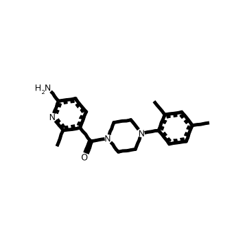 Cc1ccc(N2CCN(C(=O)c3ccc(N)nc3C)CC2)c(C)c1